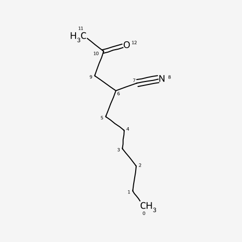 CCCCCCC(C#N)CC(C)=O